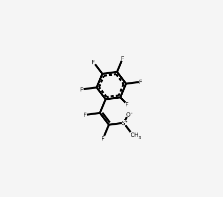 C[S+]([O-])/C(F)=C(/F)c1c(F)c(F)c(F)c(F)c1F